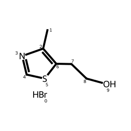 Br.Cc1ncsc1CCO